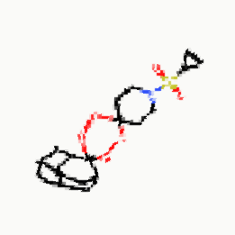 O=S(=O)(C1CC1)N1CCC2(CC1)OOC1(OO2)C2CC3CC(C2)CC1C3